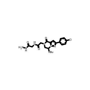 CCCCC1CN(CC(=O)NCC(=O)NN)C(=O)c2cc(-c3ccc(Cl)cc3)nn21